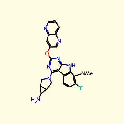 CNc1c(F)ccc2c1[nH]c1nc(Oc3cnc4cccnc4c3)nc(N3CC4C(N)C4C3)c12